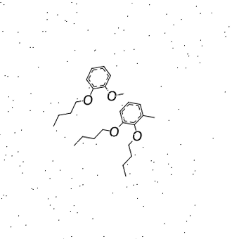 CCCCOc1cccc(C)c1OCCCC.CCCCOc1ccccc1OC